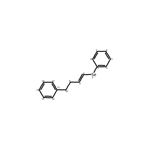 C(=C[Se]c1ccccc1)CCc1ccccc1